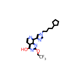 Oc1nc(OCC(F)(F)F)nc2c(-c3cn(CCCCC4CCCC4)cn3)nccc12